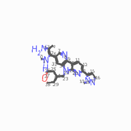 CN/C(=C(/C)N)c1cnc2c3ccc(-c4ccnn4C)nc3n(CC3CCOCC3)c2c1